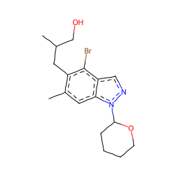 Cc1cc2c(cnn2C2CCCCO2)c(Br)c1CC(C)CO